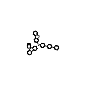 c1ccc(-c2ccc(-c3ccc(N(c4ccc5c(c4)C4(CC6CCC4C6)c4ccccc4-5)c4ccc5c(c4)sc4ccccc45)cc3)cc2)cc1